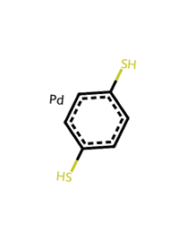 Sc1ccc(S)cc1.[Pd]